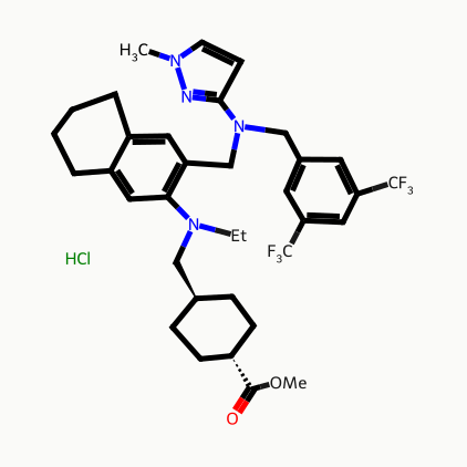 CCN(C[C@H]1CC[C@H](C(=O)OC)CC1)c1cc2c(cc1CN(Cc1cc(C(F)(F)F)cc(C(F)(F)F)c1)c1ccn(C)n1)CCCC2.Cl